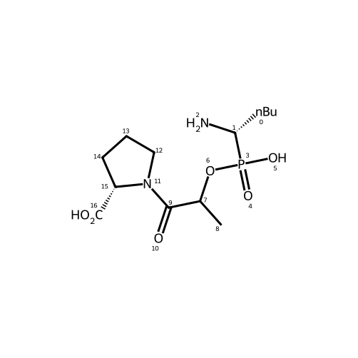 CCCC[C@@H](N)P(=O)(O)OC(C)C(=O)N1CCC[C@H]1C(=O)O